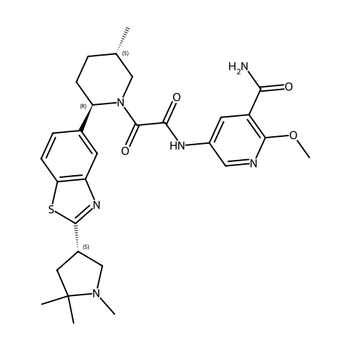 COc1ncc(NC(=O)C(=O)N2C[C@@H](C)CC[C@@H]2c2ccc3sc([C@@H]4CN(C)C(C)(C)C4)nc3c2)cc1C(N)=O